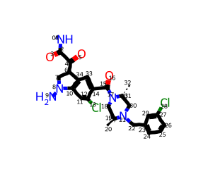 CNC(=O)C(=O)C1CN(N)c2cc(Cl)c(C(=O)N3C[C@H](C)N(Cc4cccc(Cl)c4)C[C@H]3C)cc21